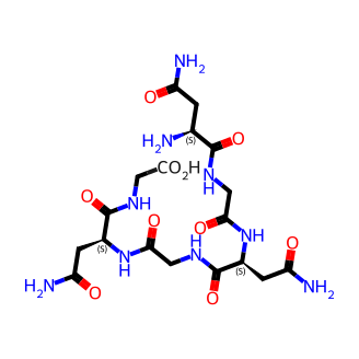 NC(=O)C[C@H](NC(=O)CNC(=O)[C@H](CC(N)=O)NC(=O)CNC(=O)[C@@H](N)CC(N)=O)C(=O)NCC(=O)O